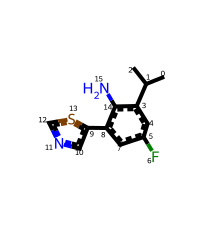 CC(C)c1cc(F)cc(-c2cncs2)c1N